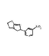 O=[N+]([O-])c1cccc(C2CN3CCSC3=N2)c1